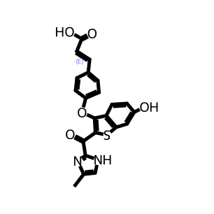 Cc1c[nH]c(C(=O)c2sc3cc(O)ccc3c2Oc2ccc(/C=C/C(=O)O)cc2)n1